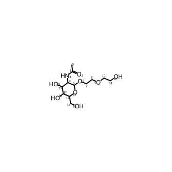 CC(=O)NC1C(OCCOCCO)OC(CO)C(O)C1O